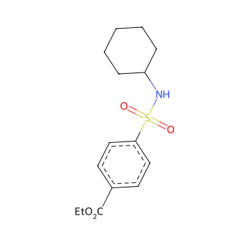 CCOC(=O)c1ccc(S(=O)(=O)NC2CCCCC2)cc1